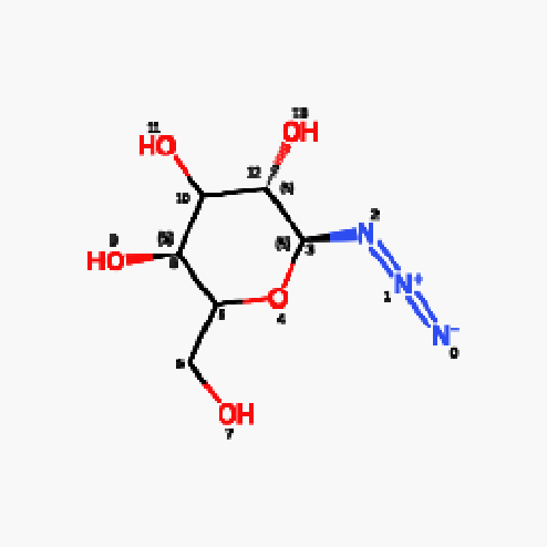 [N-]=[N+]=N[C@H]1OC(CO)[C@@H](O)C(O)[C@@H]1O